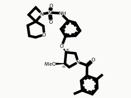 CO[C@@H]1CN(C(=O)c2cc(C)ccc2C)C[C@H]1Oc1cccc(NS(=O)(=O)N2CCC23CCCOC3)c1